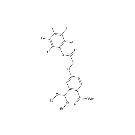 CCOC(OCC)c1cc(OCC(=O)Oc2c(F)c(F)c(F)c(F)c2F)ccc1C(=O)OC